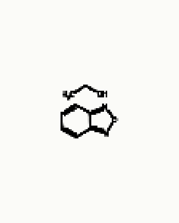 CCO.c1ccc2nonc2c1